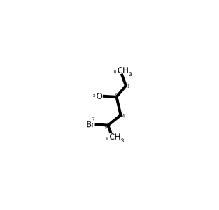 CCC([O])CC(C)Br